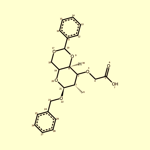 C[C@H]1C(OCC(=O)O)[C@@H]2OC(c3ccccc3)OCC2O[C@@H]1OCc1ccccc1